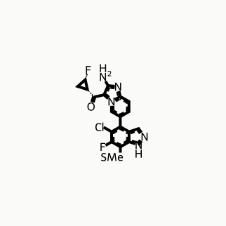 CSc1c(F)c(Cl)c(-c2ccc3nc(N)c(C(=O)[C@@H]4C[C@@H]4F)n3c2)c2cn[nH]c12